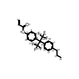 C=CC(=O)Oc1ccc(C(c2ccc(CCC)cc2)(C(F)(F)F)C(F)(F)F)cc1